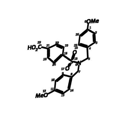 COc1ccc(CN(Cc2ccc(OC)cc2)S(=O)(=O)c2ccc(C(=O)O)cc2)cc1